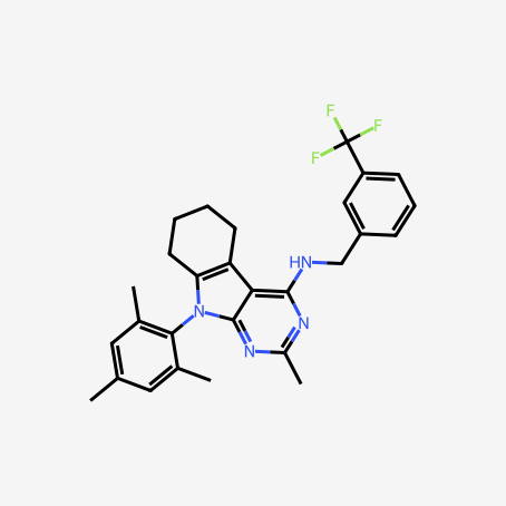 Cc1cc(C)c(-n2c3c(c4c(NCc5cccc(C(F)(F)F)c5)nc(C)nc42)CCCC3)c(C)c1